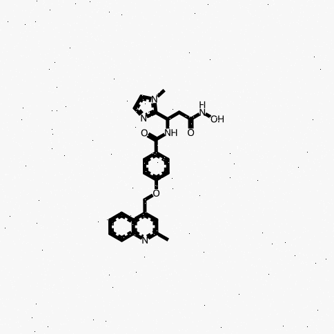 Cc1cc(COc2ccc(C(=O)NC(CC(=O)NO)c3nccn3C)cc2)c2ccccc2n1